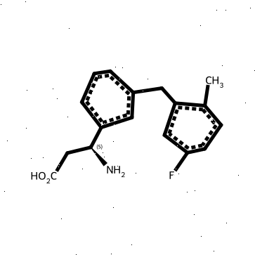 Cc1ccc(F)cc1Cc1cccc([C@@H](N)CC(=O)O)c1